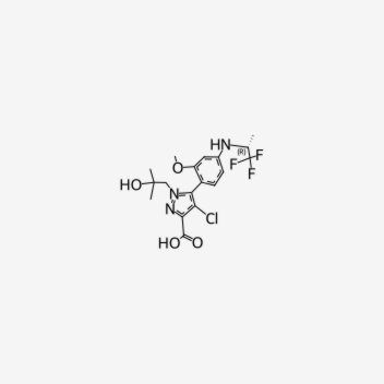 COc1cc(N[C@H](C)C(F)(F)F)ccc1-c1c(Cl)c(C(=O)O)nn1CC(C)(C)O